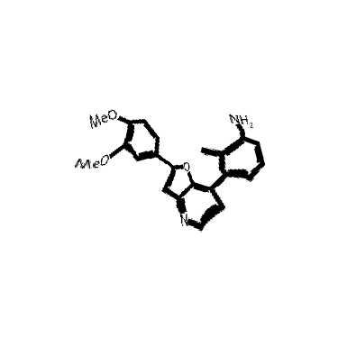 COc1ccc(-c2cc3nccc(-c4cccc(N)c4C)c3o2)cc1OC